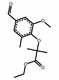 CCOC(=O)C(C)(C)Oc1c(C)cc(C=O)cc1OC